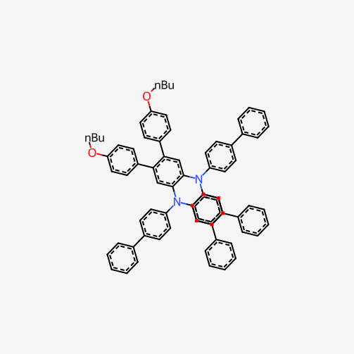 CCCCOc1ccc(-c2cc(N(c3ccc(-c4ccccc4)cc3)c3ccc(-c4ccccc4)cc3)c(N(c3ccc(-c4ccccc4)cc3)c3ccc(-c4ccccc4)cc3)cc2-c2ccc(OCCCC)cc2)cc1